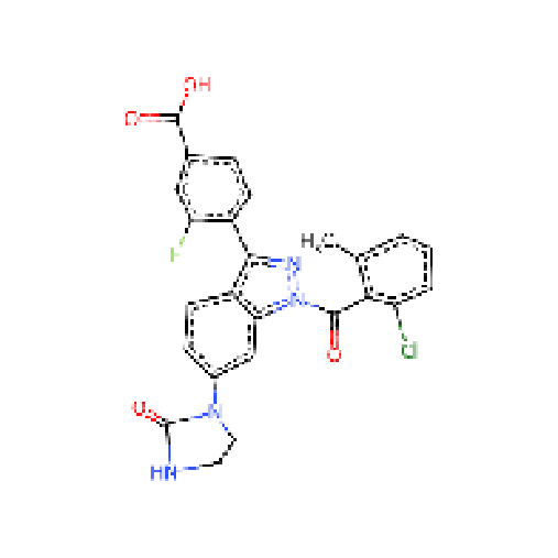 Cc1cccc(Cl)c1C(=O)n1nc(-c2ccc(C(=O)O)cc2F)c2ccc(N3CCNC3=O)cc21